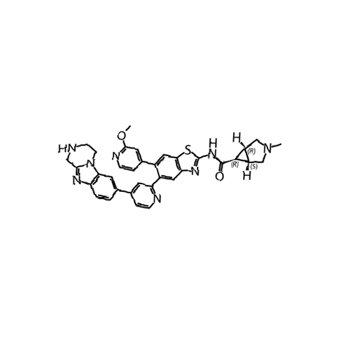 COc1cc(-c2cc3sc(NC(=O)[C@H]4[C@@H]5CN(C)C[C@@H]54)nc3cc2-c2cc(-c3ccc4nc5n(c4c3)CCNC5)ccn2)ccn1